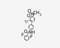 Cn1c(=O)oc2c(C3CC3)c(-c3ccc(NC(=O)c4c(F)cccc4F)cc3)ccc21